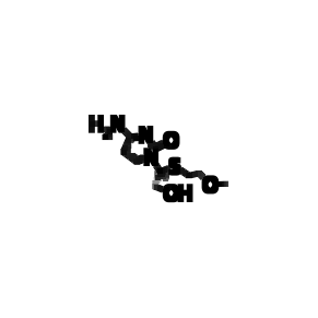 COCCS[C@H](CO)n1ccc(N)nc1=O